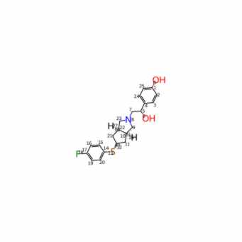 Oc1ccc(C(O)CN2C[C@H]3C[C@@H](Sc4ccc(F)cc4)C[C@H]3C2)cc1